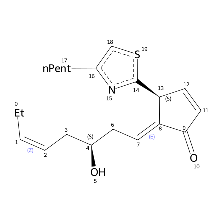 CC/C=C\C[C@H](O)C/C=C1/C(=O)C=C[C@@H]1c1nc(CCCCC)cs1